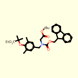 CCOC(=O)C(C)(C)Oc1c(C)cc(CN(CC(=O)OC(C)(C)C)C(=O)OCC2c3ccccc3-c3ccccc32)cc1C